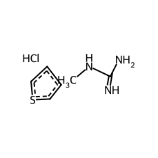 CNC(=N)N.Cl.c1ccsc1